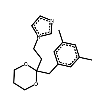 Cc1cc(C)cc(CC2(CCn3ccnc3)OCCCO2)c1